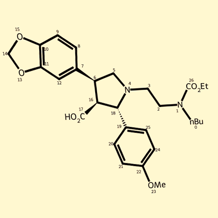 CCCCN(CCN1C[C@H](c2ccc3c(c2)OCO3)[C@H](C(=O)O)[C@H]1c1ccc(OC)cc1)C(=O)OCC